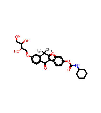 CC1(C)c2cc(OC[C@@H](O)C(O)CO)ccc2C(=O)c2c1oc1cc(OC(=O)NC3CCCCC3)ccc21